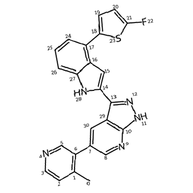 Cc1ccncc1-c1cnc2[nH]nc(-c3cc4c(-c5ccc(F)s5)cccc4[nH]3)c2c1